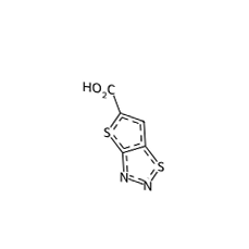 O=C(O)c1cc2snnc2s1